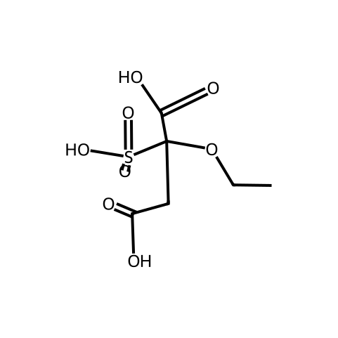 CCOC(CC(=O)O)(C(=O)O)S(=O)(=O)O